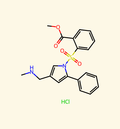 CNCc1cc(-c2ccccc2)n(S(=O)(=O)c2ccccc2C(=O)OC)c1.Cl